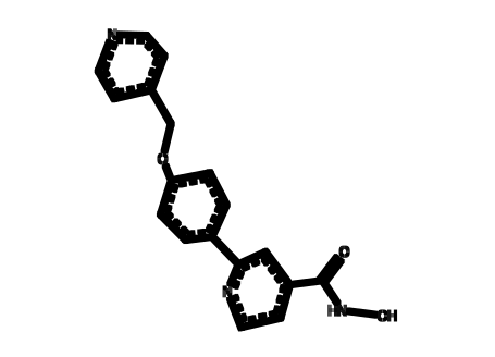 O=C(NO)c1ccnc(-c2ccc(OCc3ccncc3)cc2)c1